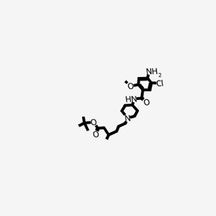 COc1cc(N)c(Cl)cc1C(=O)NC1CCN(CCCC(C)CC(=O)OC(C)(C)C)CC1